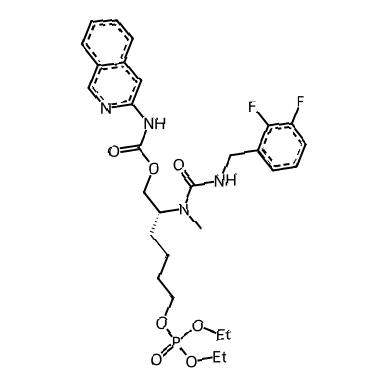 CCOP(=O)(OCC)OCCCC[C@H](COC(=O)Nc1cc2ccccc2cn1)N(C)C(=O)NCc1cccc(F)c1F